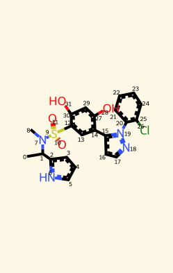 CC(c1ccc[nH]1)N(C)S(=O)(=O)c1cc(-c2ccnn2-c2ccccc2Cl)c(O)cc1O